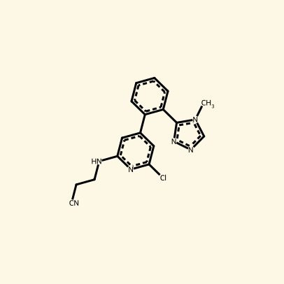 Cn1cnnc1-c1ccccc1-c1cc(Cl)nc(NCCC#N)c1